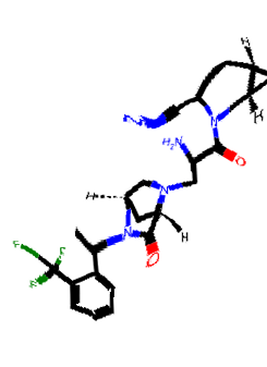 CC(c1ccccc1C(F)(F)F)N1C(=O)[C@@H]2C[C@@H]1CN2CC(N)C(=O)N1C(C#N)C[C@@H]2C[C@@H]21